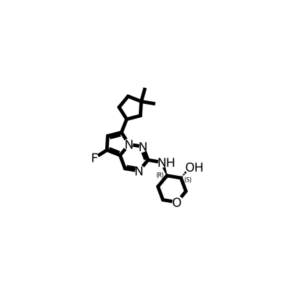 CC1(C)CCC(c2cc(F)c3cnc(N[C@@H]4CCOC[C@H]4O)nn23)C1